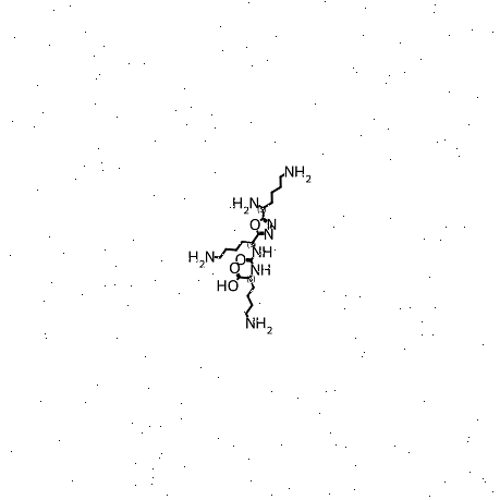 NCCCC[C@H](NC(=O)N[C@@H](CCCCN)c1nnc([C@@H](N)CCCCN)o1)C(=O)O